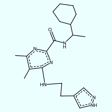 Cc1nc(C(=O)NC(C)C2CCCCC2)nc(NCCc2cn[nH]c2)c1C